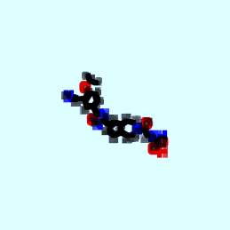 CC(C)Oc1ccc(-c2nc(-c3ccc4c(c3)CCN(C(=O)CNC(=O)O)CC4)no2)cc1C#N